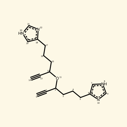 C#CC(CCCc1c[nH]cn1)OC(C#C)CCCc1c[nH]cn1